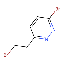 BrCCc1ccc(Br)nn1